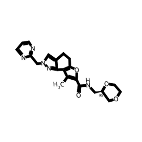 Cc1c(C(=O)NC[C@@H]2COCCO2)oc2c1-c1nn(Cc3ncccn3)cc1CC2